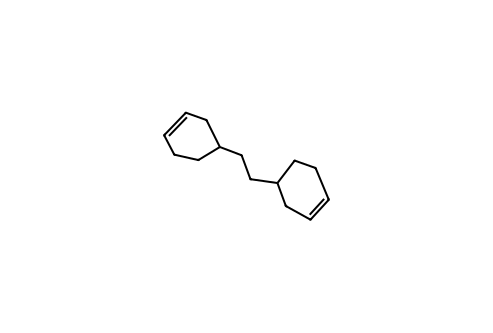 C1=CCC(CCC2CC=CCC2)CC1